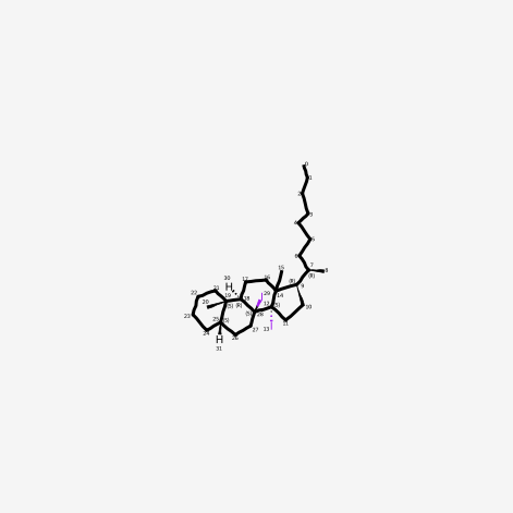 CCCCCCC[C@@H](C)[C@H]1CC[C@]2(I)C1(C)CC[C@@H]1[C@@]3(C)CCCC[C@H]3CC[C@]12I